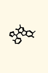 Cc1cc2c(cc1C)-c1cc(C)c(C)c(C(c3ccccc3C)C3C=CC=C3)c1C2